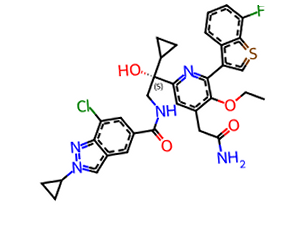 CCOc1c(CC(N)=O)cc([C@@](O)(CNC(=O)c2cc(Cl)c3nn(C4CC4)cc3c2)C2CC2)nc1-c1csc2c(F)cccc12